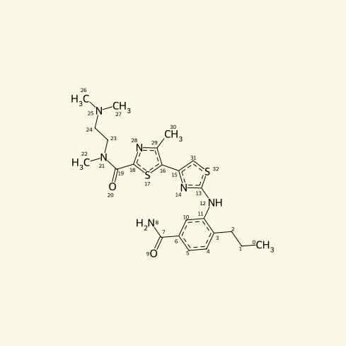 CCCc1ccc(C(N)=O)cc1Nc1nc(-c2sc(C(=O)N(C)CCN(C)C)nc2C)cs1